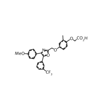 COc1ccc(-c2nc(COc3ccc(OCC(=O)O)c(C)c3)oc2-c2cccc(C(F)(F)F)c2)cc1